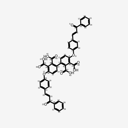 O=C(C=Cc1ccc(Oc2ccc(-c3ccc(Oc4ccc(C=CC(=O)c5ccccc5)cc4)c(C(=O)O)c3C(=O)O)c(C(=O)O)c2C(=O)O)cc1)c1ccccc1